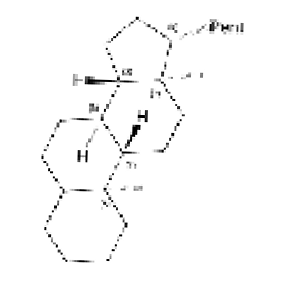 CCCC(C)[C@H]1CC[C@H]2[C@@H]3CCC4CCCC[C@]4(C)[C@H]3CC[C@]12C